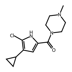 CN1CCN(C(=O)c2cc(C3CC3)c(Cl)[nH]2)CC1